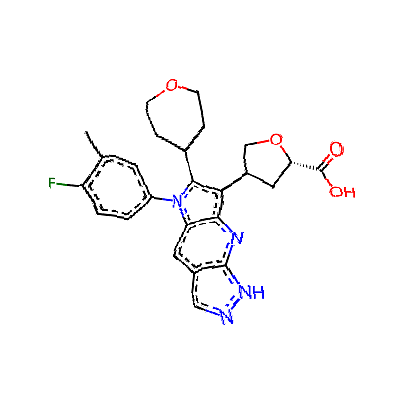 Cc1cc(-n2c(C3CCOCC3)c(C3CO[C@H](C(=O)O)C3)c3nc4[nH]ncc4cc32)ccc1F